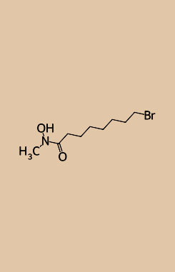 CN(O)C(=O)CCCCCCCBr